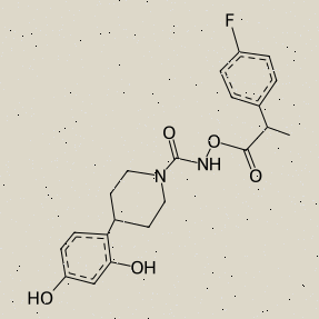 CC(C(=O)ONC(=O)N1CCC(c2ccc(O)cc2O)CC1)c1ccc(F)cc1